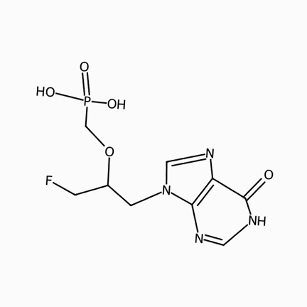 O=c1[nH]cnc2c1ncn2CC(CF)OCP(=O)(O)O